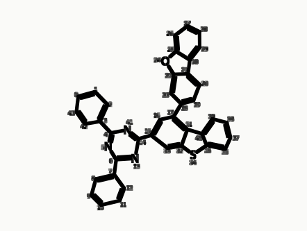 c1ccc(-c2nc(-c3ccccc3)nc(-c3cc(-c4ccc5c(c4)oc4ccccc45)c4c(c3)sc3ccccc34)n2)cc1